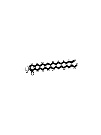 C=CCCCCCCCCCCCCCCCC.CCCCCCCCCCCCCCCCCC(N)=O